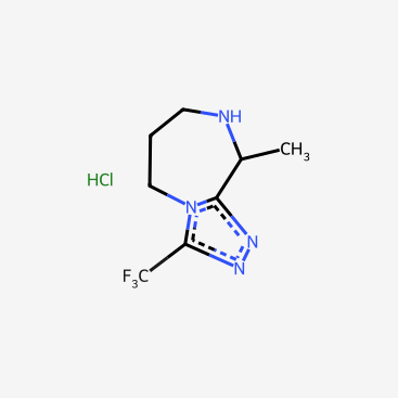 CC1NCCCn2c1nnc2C(F)(F)F.Cl